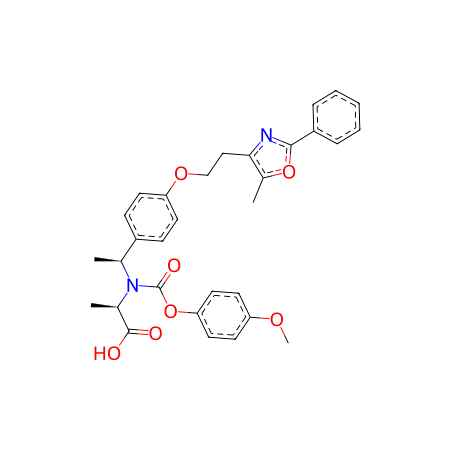 COc1ccc(OC(=O)N([C@H](C)C(=O)O)[C@@H](C)c2ccc(OCCc3nc(-c4ccccc4)oc3C)cc2)cc1